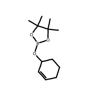 CC1(C)OB(OC2C=CCCC2)OC1(C)C